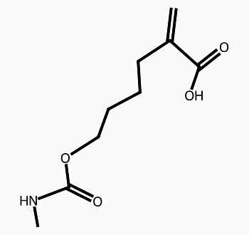 C=C(CCCCOC(=O)NC)C(=O)O